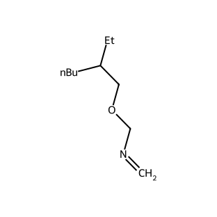 C=NCOCC(CC)CCCC